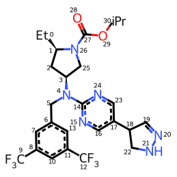 CC[C@@H]1C[C@H](N(Cc2cc(C(F)(F)F)cc(C(F)(F)F)c2)c2ncc(C3C=NNC3)cn2)CN1C(=O)OC(C)C